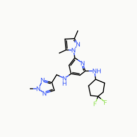 Cc1cc(C)n(-c2cc(NCc3cnn(C)n3)cc(NC3CCC(F)(F)CC3)n2)n1